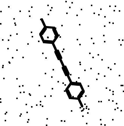 Cc1ccc(C#CC#Cc2ccc(C)cc2)cc1